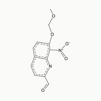 COCOc1ccc2ccc(C=O)nc2c1[N+](=O)[O-]